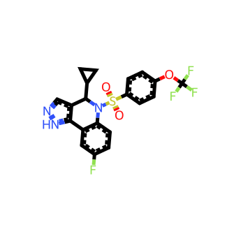 O=S(=O)(c1ccc(OC(F)(F)F)cc1)N1c2ccc(F)cc2-c2[nH]ncc2C1C1CC1